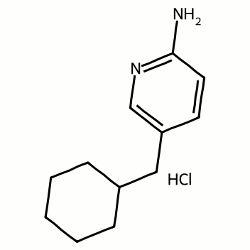 Cl.Nc1ccc(CC2CCCCC2)cn1